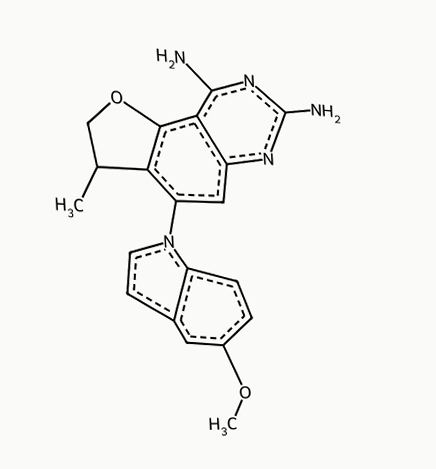 COc1ccc2c(ccn2-c2cc3nc(N)nc(N)c3c3c2C(C)CO3)c1